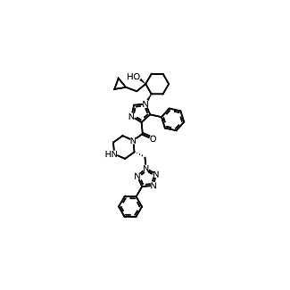 O=C(c1ncn([C@@H]2CCCC[C@@]2(O)CC2CC2)c1-c1ccccc1)N1CCNC[C@H]1Cn1nnc(-c2ccccc2)n1